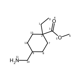 CCC1(C(=O)OC)CCC(CN)CC1